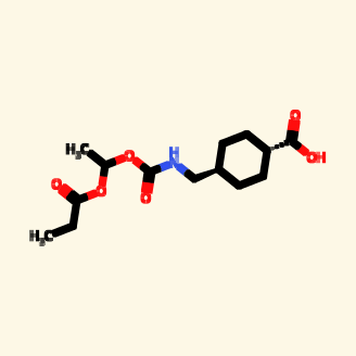 CCC(=O)OC(C)OC(=O)NC[C@H]1CC[C@H](C(=O)O)CC1